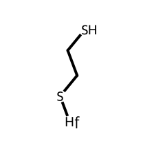 SCC[S][Hf]